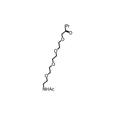 CC(=O)NCCOCCOCCOCCOCC(=O)C(C)C